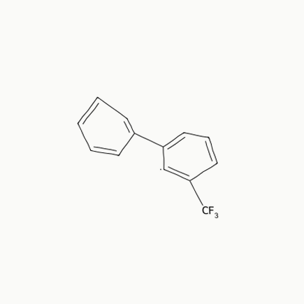 FC(F)(F)c1[c]c(-c2ccccc2)ccc1